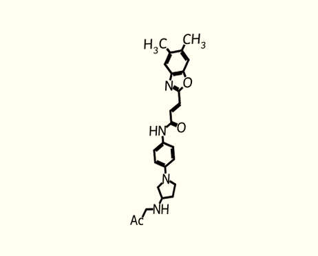 CC(=O)CNC1CCN(c2ccc(NC(=O)C=Cc3nc4cc(C)c(C)cc4o3)cc2)C1